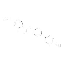 COc1ccc(C(=O)Oc2ccc(-c3ccc(C#N)cc3)cc2)cc1